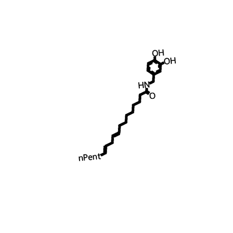 CCCCC/C=C/C/C=C/CCCCCCCC(=O)NCc1ccc(O)c(O)c1